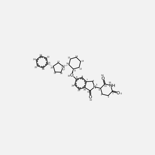 O=C1CCC(N2Cc3cc(O[C@@H]4CCCC[C@H]4N4CC[C@H](c5ccccc5)C4)ccc3C2=O)C(=O)N1